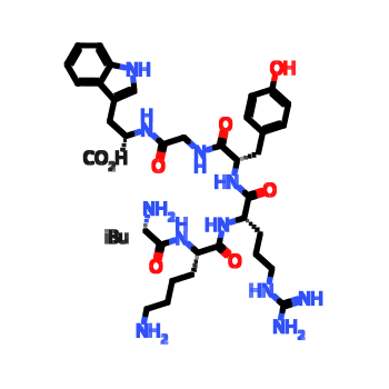 CC[C@H](C)[C@H](N)C(=O)N[C@@H](CCCCN)C(=O)N[C@@H](CCCNC(=N)N)C(=O)N[C@@H](Cc1ccc(O)cc1)C(=O)NCC(=O)N[C@@H](Cc1c[nH]c2ccccc12)C(=O)O